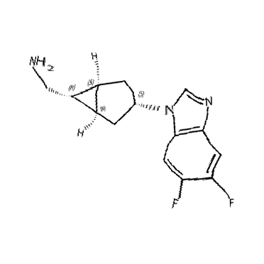 NC[C@@H]1[C@H]2C[C@H](n3cnc4cc(F)c(F)cc43)C[C@@H]12